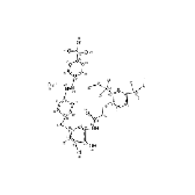 CCC(C)(C)c1ccc(OCC(=O)Nc2cc(Oc3ccc(N=Nc4ccc(S(=O)(=O)[O-])cc4)cc3)c(C)c(Cl)c2O)c(C(C)(C)CC)c1.[Na+]